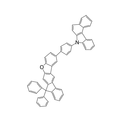 c1ccc(C2(c3ccccc3)c3ccccc3-c3cc4c(cc32)oc2ccc(-c3ccc(-n5c6ccccc6c6c7ccccc7ccc65)cc3)cc24)cc1